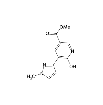 COC(=O)c1cnc(O)c(-c2ccn(C)n2)c1